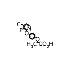 CC(Oc1ccc(Oc2nccc(Cl)c2F)cc1)C(=O)O